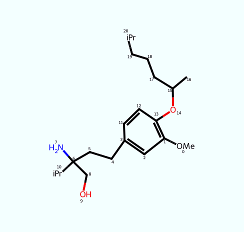 COc1cc(CCC(N)(CO)C(C)C)ccc1OC(C)CCCC(C)C